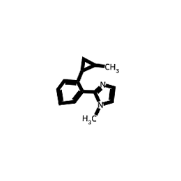 CC1CC1c1ccccc1-c1nccn1C